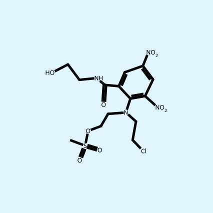 CS(=O)(=O)OCCN(CCCl)c1c(C(=O)NCCO)cc([N+](=O)[O-])cc1[N+](=O)[O-]